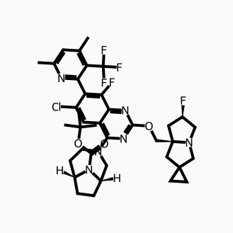 Cc1cc(C)c(C(F)(F)F)c(-c2c(Cl)cc3c(N4CC[C@H]5CC[C@@H](C4)N5C(=O)OC(C)(C)C)nc(OC[C@@]45C[C@@H](F)CN4CC4(CC4)C5)nc3c2F)n1